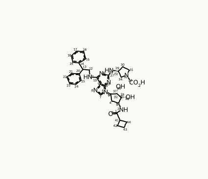 O=C(N[C@H]1C[C@@H](n2cnc3c(NCC(c4ccccc4)c4ccccc4)nc(N[C@H]4CCN(C(=O)O)C4)nc32)[C@H](O)[C@@H]1O)C1CCC1